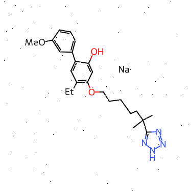 CCc1cc(-c2cccc(OC)c2)c(O)cc1OCCCCCC(C)(C)c1nn[nH]n1.[Na]